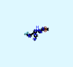 CN(C)CC1CCN(c2cc(Nc3ccnc(-c4cnn(S(=O)(=O)C5CC5)c4)n3)ncc2C#Cc2cnn(CC(F)F)c2)CC1